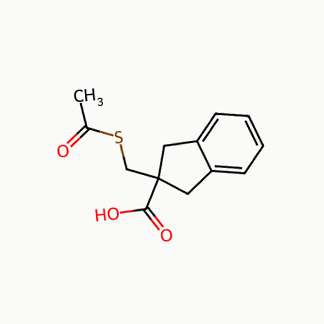 CC(=O)SCC1(C(=O)O)Cc2ccccc2C1